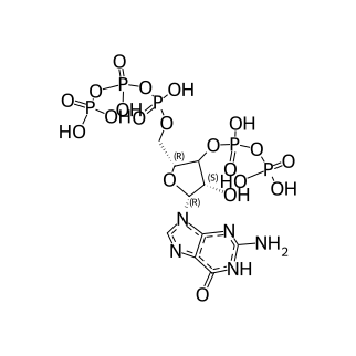 Nc1nc2c(ncn2[C@@H]2O[C@H](COP(=O)(O)OP(=O)(O)OP(=O)(O)O)C(OP(=O)(O)OP(=O)(O)O)[C@@H]2O)c(=O)[nH]1